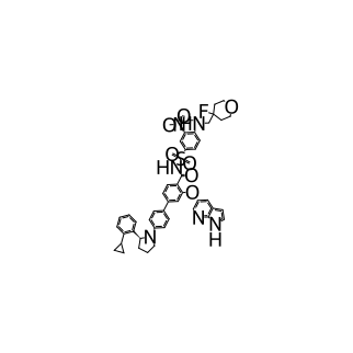 O=C(NS(=O)(=O)c1ccc(NCC2(F)CCOCC2)c([N+](=O)[O-])c1)c1ccc(-c2ccc(N3CCC[C@H]3c3ccccc3C3CC3)cc2)cc1Oc1cnc2[nH]ccc2c1